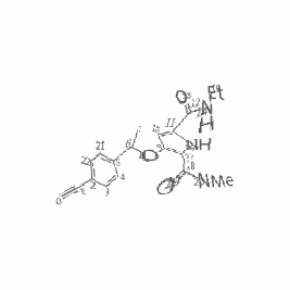 C#Cc1ccc(C(C)Oc2cc(C(=O)NCC)[nH]c2C(=O)NC)cc1